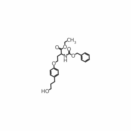 CCOC(=O)C(CCOc1ccc(CCCO)cc1)NC(=O)OCc1ccccc1